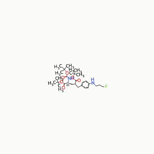 CC(C)(C)OC(=O)N[C@@H](CC(Cc1ccc(NCCCF)cc1)C(=O)OC(C)(C)C)C(=O)OC(C)(C)C